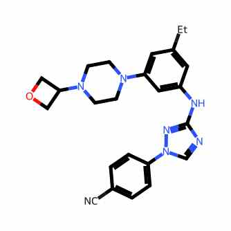 CCc1cc(Nc2ncn(-c3ccc(C#N)cc3)n2)cc(N2CCN(C3COC3)CC2)c1